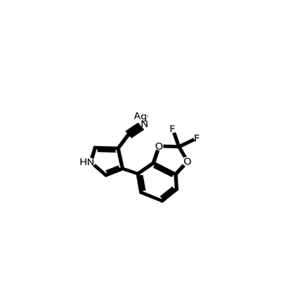 N#Cc1c[nH]cc1-c1cccc2c1OC(F)(F)O2.[Ag]